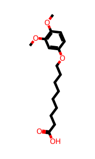 COc1ccc(OCCCCCCCCC(=O)O)cc1OC